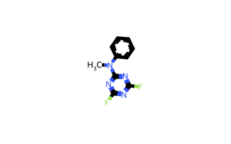 CN(c1ccccc1)c1nc(F)nc(F)n1